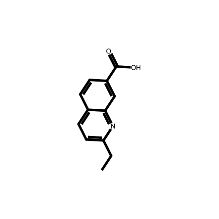 CCc1ccc2ccc(C(=O)O)cc2n1